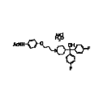 CC(=O)Nc1ccc(OCCCN2CCC(C(O)(c3ccc(F)cc3)c3ccc(F)cc3)CC2)cc1.Cl.O